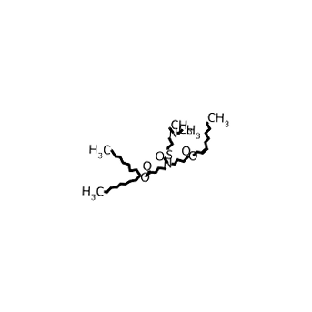 CCCCCC/C=C\COC(=O)CCCN(CCCC(=O)OC(CCCCCCCC)CCCCCCCC)C(=O)SCCCN(CC)CC